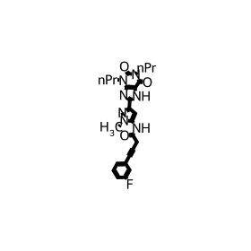 CCCn1c(=O)c2[nH]c(-c3cc(NC(=O)CC#Cc4cccc(F)c4)n(C)n3)nc2n(CCC)c1=O